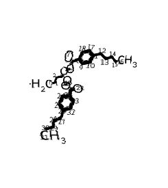 [CH2]CC[C](OOC(=O)c1ccc(CCCCC)cc1)OOC(=O)c1ccc(CCCCC)cc1